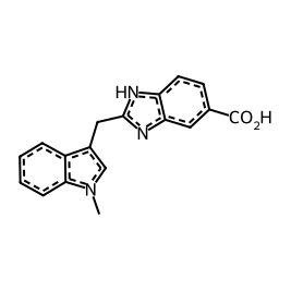 Cn1cc(Cc2nc3cc(C(=O)O)ccc3[nH]2)c2ccccc21